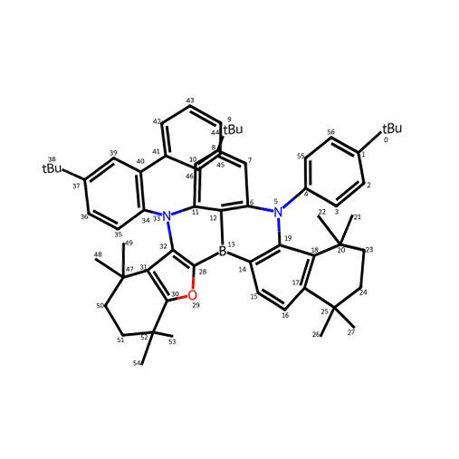 CC(C)(C)c1ccc(N2c3cc(C(C)(C)C)cc4c3B(c3ccc5c(c32)C(C)(C)CCC5(C)C)c2oc3c(c2N4c2ccc(C(C)(C)C)cc2-c2ccccc2)C(C)(C)CCC3(C)C)cc1